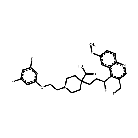 COc1ccc2ncc(CF)c([C@@H](F)CCC3(C(=O)O)CCN(CCOc4cc(F)cc(F)c4)CC3)c2c1